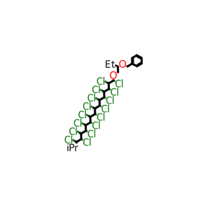 CCC(COC(Cl)C(Cl)C(Cl)C(Cl)C(Cl)C(Cl)C(Cl)C(Cl)C(Cl)C(Cl)C(Cl)C(Cl)C(Cl)C(Cl)C(Cl)C(Cl)C(C)C)OCc1ccccc1